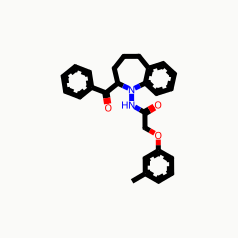 Cc1cccc(OCC(=O)NN2c3ccccc3CCCC2C(=O)c2ccccc2)c1